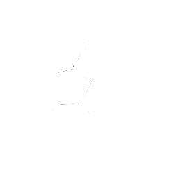 CC(C(=O)O)[C@@H](C(=O)O)N(C)C